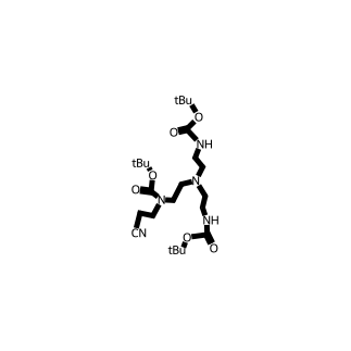 CC(C)(C)OC(=O)NCCN(CCNC(=O)OC(C)(C)C)CCN(CCC#N)C(=O)OC(C)(C)C